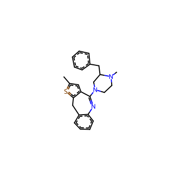 Cc1cc2c(s1)Cc1ccccc1N=C2N1CCN(C)C(Cc2ccccc2)C1